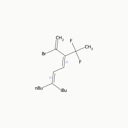 C=C(Br)/C(=C\C=C(\CCCC)C(C)CC)C(C)(F)F